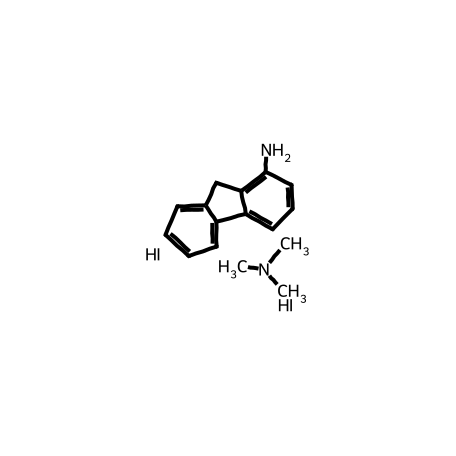 CN(C)C.I.I.Nc1cccc2c1Cc1ccccc1-2